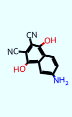 N#Cc1c(C#N)c(O)c2cc(N)ccc2c1O